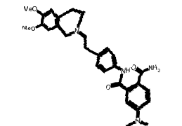 COc1cc2c(cc1OC)CN(CCc1ccc(NC(=O)c3cc(N(C)C)ccc3C(N)=O)cc1)CC2